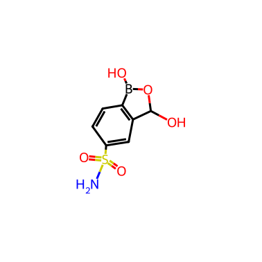 NS(=O)(=O)c1ccc2c(c1)C(O)OB2O